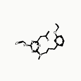 CCOc1cccc(CCCN(C)c2nc(CC(C)F)nc(NC=O)n2)c1